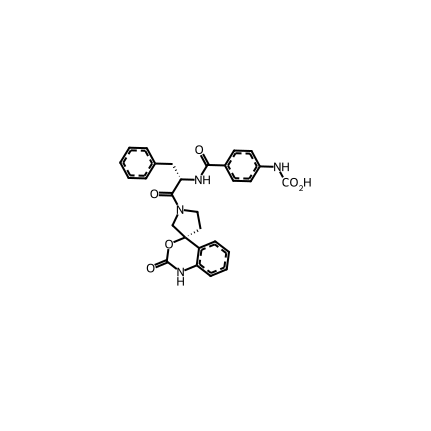 O=C(O)Nc1ccc(C(=O)N[C@@H](Cc2ccccc2)C(=O)N2CC[C@@]3(C2)OC(=O)Nc2ccccc23)cc1